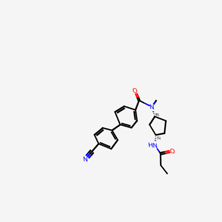 CCC(=O)N[C@H]1CC[C@@H](N(C)C(=O)c2ccc(-c3ccc(C#N)cc3)cc2)C1